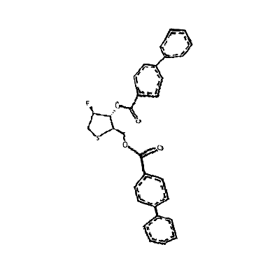 O=C(OC[C@H]1SC[C@@H](F)[C@@H]1OC(=O)c1ccc(-c2ccccc2)cc1)c1ccc(-c2ccccc2)cc1